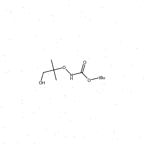 CC(C)(C)OC(=O)NOC(C)(C)CO